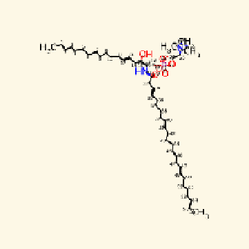 CCCCCCCCCCCCC=CC[C@@H](O)[C@H](COP(=O)([O-])OCC[N+](C)(C)C)NC(=O)CC=CCCCCCCCCCCCCCCCCCCCCC